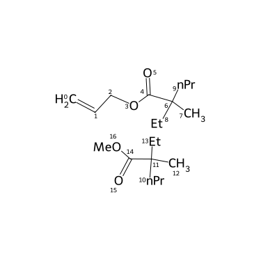 C=CCOC(=O)C(C)(CC)CCC.CCCC(C)(CC)C(=O)OC